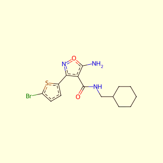 Nc1onc(-c2ccc(Br)s2)c1C(=O)NCC1CCCCC1